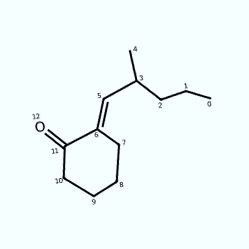 CCCC(C)C=C1CCCCC1=O